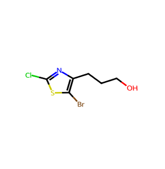 OCCCc1nc(Cl)sc1Br